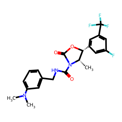 C[C@H]1[C@@H](c2cc(F)cc(C(F)(F)F)c2)OC(=O)N1C(=O)NCc1cccc(N(C)C)c1